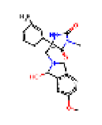 BC1=CC([C@]2(CN3Cc4ccc(OC)cc4C3O)NC(=O)N(C)C2=O)CC=C1